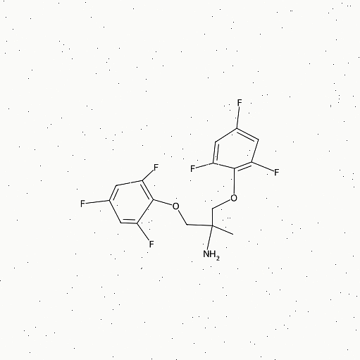 CC(N)(COc1c(F)cc(F)cc1F)COc1c(F)cc(F)cc1F